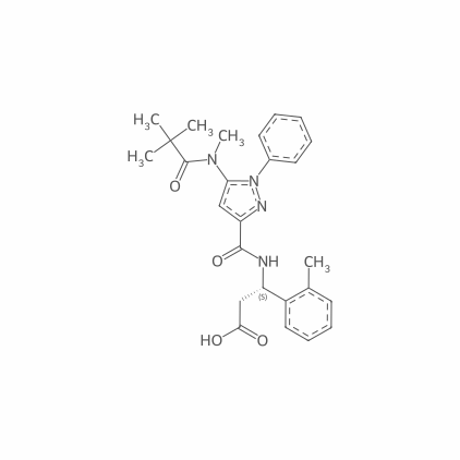 Cc1ccccc1[C@H](CC(=O)O)NC(=O)c1cc(N(C)C(=O)C(C)(C)C)n(-c2ccccc2)n1